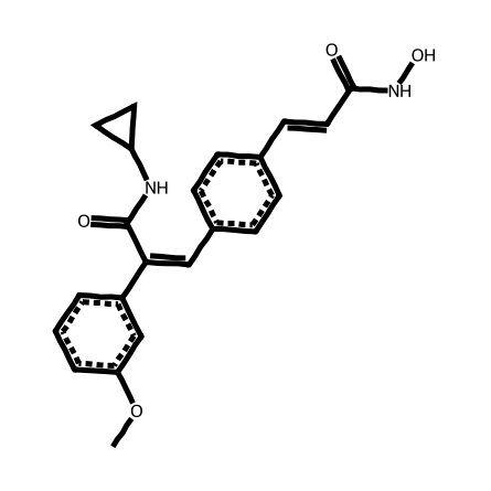 COc1cccc(C(=Cc2ccc(C=CC(=O)NO)cc2)C(=O)NC2CC2)c1